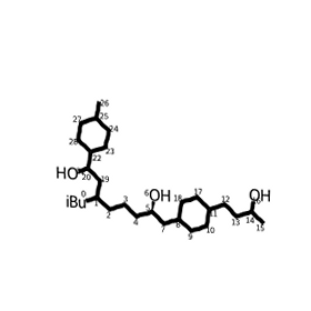 CCC(C)C(CCC[C@@H](O)CC1CCC(CCC(C)O)CC1)CC(O)C1CCC(C)CC1